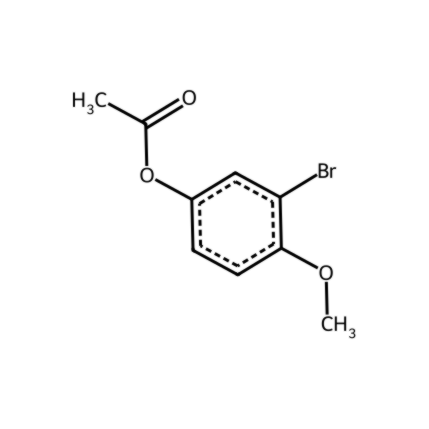 COc1ccc(OC(C)=O)cc1Br